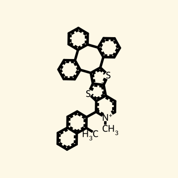 Cc1c(-c2c3sc4c5c(sc4c3cc[n+]2C)-c2ccccc2-c2ccccc2-c2ccccc2-5)ccc2ccccc12